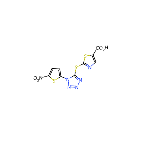 O=C(O)c1cnc(Sc2nnnn2-c2ccc([N+](=O)[O-])s2)s1